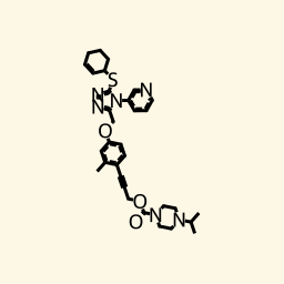 Cc1cc(OCc2nnc(SC3C=CCCC3)n2-c2cccnc2)ccc1C#CCOC(=O)N1CCN(C(C)C)CC1